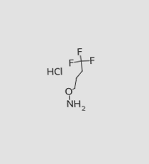 Cl.NOCCCC(F)(F)F